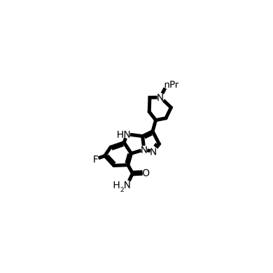 CCCN1CCC(c2cnn3c2[nH]c2cc(F)cc(C(N)=O)c23)CC1